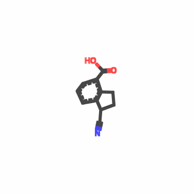 N#CC1CCc2c(C(=O)O)cccc21